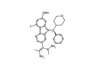 CSc1cc(F)c2c3ncc(/C(=C(\C)N)N(C)N)cc3n([C@H](c3ccccc3)C3CCOCC3)c2c1